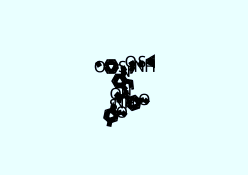 COc1ccc(SN(CC(=O)NSC2CC2)c2cccc3c2CCN3C(C(=O)NSc2ccc(C)cc2OC)c2cccc(OC)c2)cc1